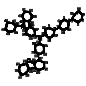 c1ccc(-c2ccc(-c3ccc(N(c4ccc(-c5cccc6c5oc5ccccc56)cc4)c4ccc5c(c4)c4ccccc4n5-c4ccccc4)cc3)cc2)cc1